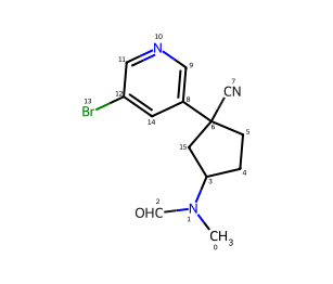 CN(C=O)C1CCC(C#N)(c2cncc(Br)c2)C1